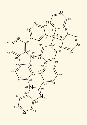 c1ccc([Si](c2ccccc2)(c2ccccc2)c2cccc(-n3c4ccccc4c4ccc5c(c6ccccc6c6nc7ccccc7n56)c43)c2)cc1